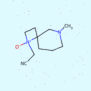 CN1CCCC2(CC[N+]2([O-])CC#N)C1